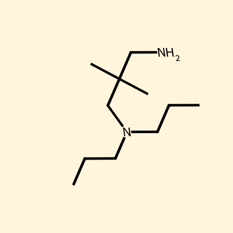 CCCN(CCC)CC(C)(C)CN